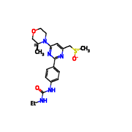 CCNC(=O)Nc1ccc(-c2nc(C[S+](C)[O-])cc(N3CCOC[C@@H]3C)n2)cc1